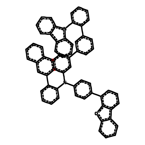 c1cc(-c2cccc(N(c3ccc(-c4cccc5c4oc4ccccc45)cc3)c3ccccc3-c3ccc4ccccc4c3)c2)cc(-c2ccccc2-n2c3ccccc3c3ccccc32)c1